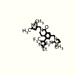 CCn1cc(-c2cc(CN3C=CN(C)C3N)cc3c2CCN(Cc2cc(C)nn2C)C3=O)c(C(F)(F)F)n1